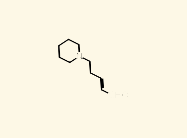 O=CC=CCCN1CCCCC1